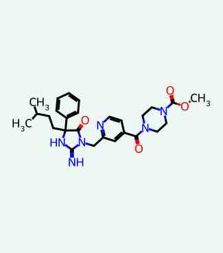 COC(=O)N1CCN(C(=O)c2ccnc(CN3C(=N)NC(CCC(C)C)(c4ccccc4)C3=O)c2)CC1